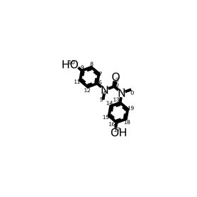 CN(C(=O)N(C)c1ccc(O)cc1)c1ccc(O)cc1